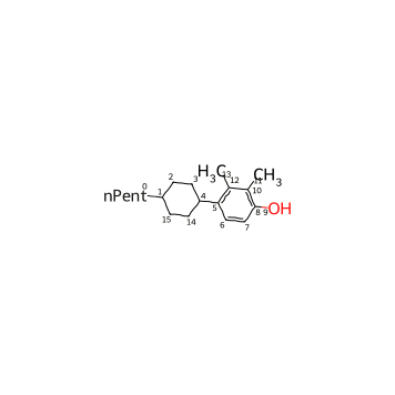 CCCCCC1CCC(c2ccc(O)c(C)c2C)CC1